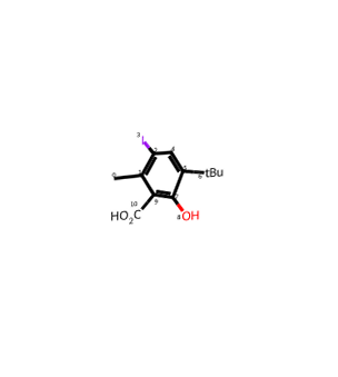 Cc1c(I)cc(C(C)(C)C)c(O)c1C(=O)O